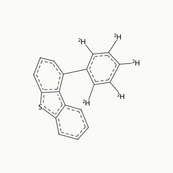 [2H]c1c([2H])c([2H])c(-c2cccc3sc4ccccc4c23)c([2H])c1[2H]